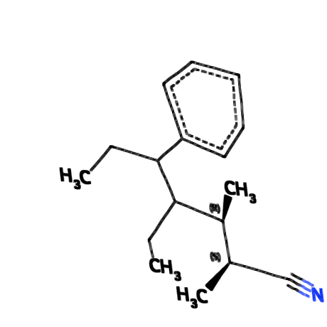 CCC(c1ccccc1)C(CC)[C@@H](C)[C@H](C)C#N